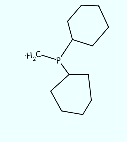 [CH2]P(C1CCCCC1)C1CCCCC1